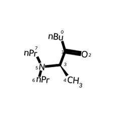 CCCCC(=O)[C@@H](C)N(CCC)CCC